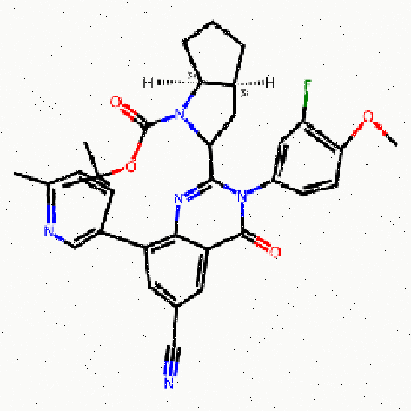 COc1ccc(-n2c(C3C[C@@H]4CCC[C@@H]4N3C(=O)OC(C)(C)C)nc3c(-c4ccc(C)nc4)cc(C#N)cc3c2=O)cc1F